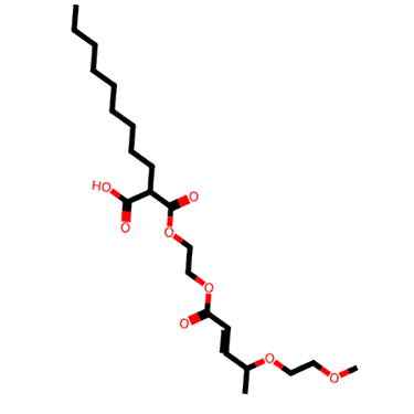 CCCCCCCCCC(C(=O)O)C(=O)OCCOC(=O)/C=C/C(C)OCCOC